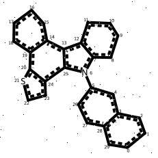 c1ccc2cc(-n3c4ccccc4c4c5ccccc5c5sccc5c43)ccc2c1